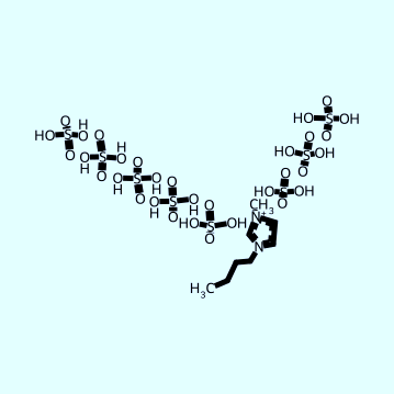 CCCCn1cc[n+](C)c1.O=S(=O)(O)O.O=S(=O)(O)O.O=S(=O)(O)O.O=S(=O)(O)O.O=S(=O)(O)O.O=S(=O)(O)O.O=S(=O)(O)O.O=S(=O)(O)O